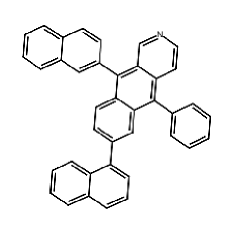 c1ccc(-c2c3ccncc3c(-c3ccc4ccccc4c3)c3ccc(-c4cccc5ccccc45)cc23)cc1